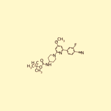 COc1cc(-c2ccc(C#N)c(F)c2)nc(N2CCC(NC(=O)OC(C)(C)C)CC2)c1